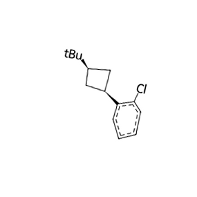 CC(C)(C)[C@H]1C[C@@H](c2ccccc2Cl)C1